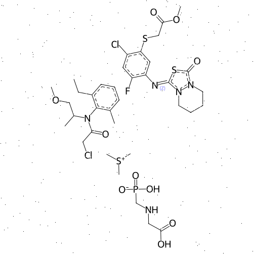 CCc1cccc(C)c1N(C(=O)CCl)C(C)COC.COC(=O)CSc1cc(/N=c2\sc(=O)n3n2CCCC3)c(F)cc1Cl.C[S+](C)C.O=C(O)CNCP(=O)([O-])O